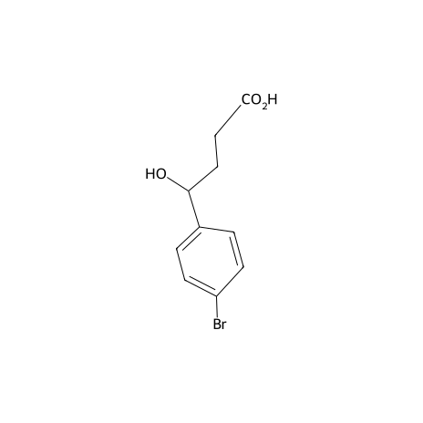 O=C(O)CCC(O)c1ccc(Br)cc1